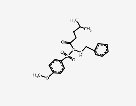 COc1ccc(S(=O)(=O)N(NCc2ccccc2)C(=O)CCC(C)C)cc1